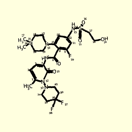 Cc1ccc(NC(=O)c2c(F)cc(NS(=O)(=O)CCO)cc2N2CC[Si](C)(C)CC2)c(=O)n1N1CCC(F)(F)CC1